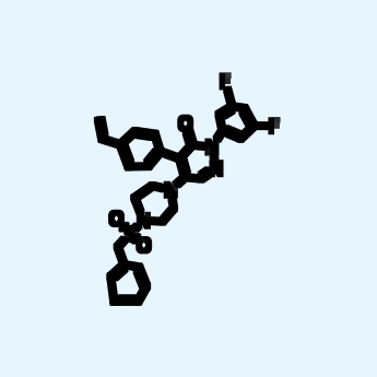 C=Cc1ccc(-c2c(N3CCN(S(=O)(=O)Cc4ccccc4)CC3)cnn(-c3cc(F)cc(F)c3)c2=O)cc1